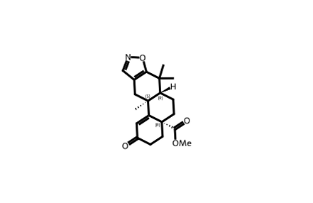 COC(=O)[C@]12CCC(=O)C=C1[C@@]1(C)Cc3cnoc3C(C)(C)[C@@H]1CC2